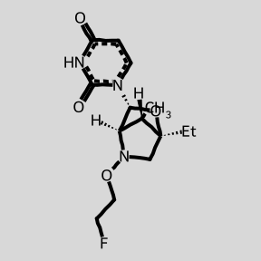 CC[C@@]12CN(OCCF)[C@@H]([C@H](n3ccc(=O)[nH]c3=O)O1)[C@@H]2C